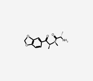 C[C@H](N)C(=O)N(C)[C@@H](C)C(=O)c1ccc2c(c1)OCO2